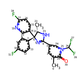 Cc1cc(C2=N[C@](c3ccc(F)cc3)(c3ccc(F)nc3)[C@H](C)N2)cn(C(F)F)c1=O